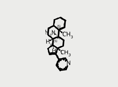 C[C@]12CCCCC1CC[C@H]1[C@@H]3CC=C(c4cccnc4)[C@@]3(C)CC[C@@]12N